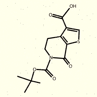 CC(C)(C)OC(=O)N1CCc2c(C(=O)O)csc2C1=O